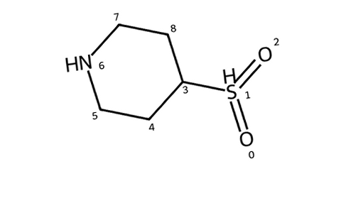 O=[SH](=O)C1CCNCC1